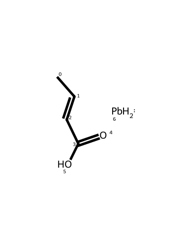 C/C=C/C(=O)O.[PbH2]